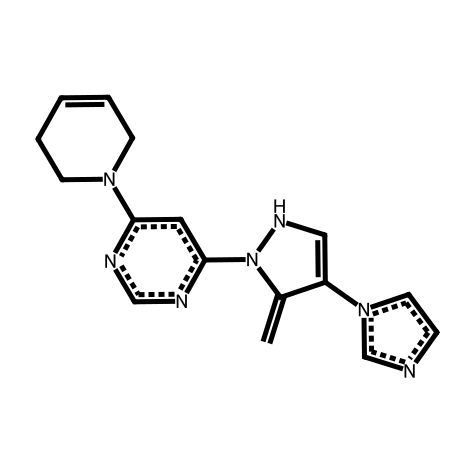 C=C1C(n2ccnc2)=CNN1c1cc(N2CC=CCC2)ncn1